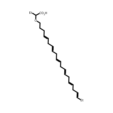 CCC=CCC=CCC=CCC=CCC=CCC=CCCCOC(CC)C(=O)O